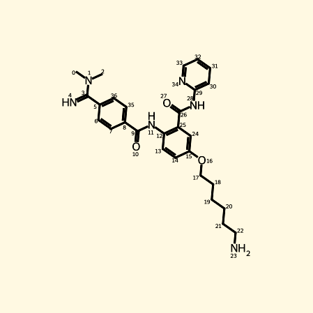 CN(C)C(=N)c1ccc(C(=O)Nc2ccc(OCCCCCCN)cc2C(=O)Nc2ccccn2)cc1